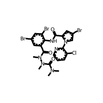 CN(C)C(=O)N(C)N(C)C(=O)c1cc(Br)cc(Br)c1NC(=O)c1cc(Br)cn1-c1ncccc1Cl